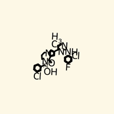 Cc1cnc(Nc2ccc(F)cc2Cl)nc1-c1cc2n(c1)CCCN([C@H](CO)c1cccc(Cl)c1)C2=O